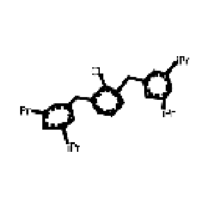 CC(C)c1cc(Cc2c[c]cc(Cc3cc(C(C)C)cc(C(C)C)c3)c2Cl)cc(C(C)C)c1